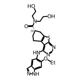 CCOc1cc2[nH]ncc2cc1Nc1ncnc2sc3c(c12)CC[C@H](C(=O)N(CCO)CCO)C3